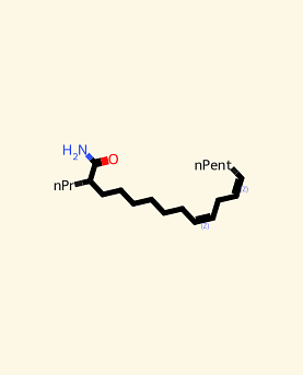 CCCCC/C=C\C/C=C\CCCCCCC(CCC)C(N)=O